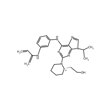 C=CC(=C)Nc1cccc(Nc2nc(N3CCCC[C@H]3CCO)nc3c2ncn3C(C)C)c1